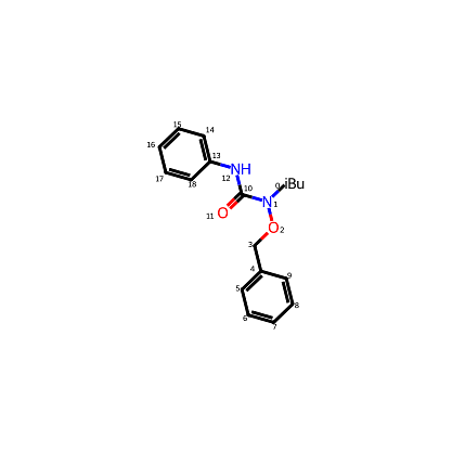 CCC(C)N(OCc1ccccc1)C(=O)Nc1ccccc1